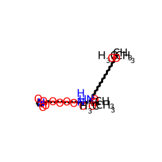 CC(C)(C)OC(=O)CCCCCCCCCCCCCCCCCCC(=O)N[C@@H](CCC(=O)NCCOCCOCCOCCOCCC(=O)ON1C(=O)CCC1=O)C(=O)OC(C)(C)C